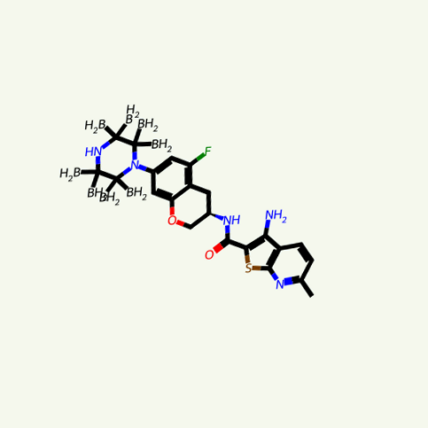 BC1(B)NC(B)(B)C(B)(B)N(c2cc(F)c3c(c2)OC[C@H](NC(=O)c2sc4nc(C)ccc4c2N)C3)C1(B)B